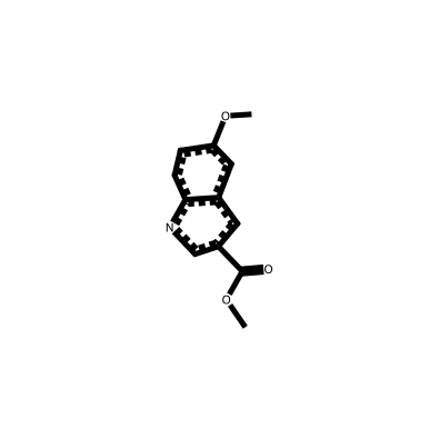 COC(=O)c1cnc2ccc(OC)cc2c1